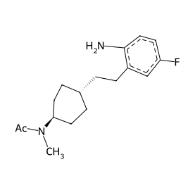 CC(=O)N(C)[C@H]1CC[C@H](CCc2cc(F)ccc2N)CC1